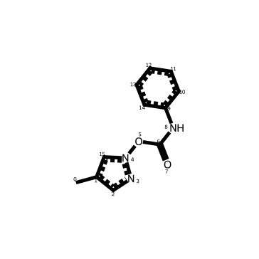 Cc1cnn(OC(=O)Nc2ccccc2)c1